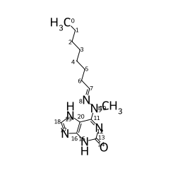 CCCCCCCC=NN(C)c1nc(=O)[nH]c2nc[nH]c12